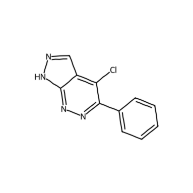 Clc1c(-c2ccccc2)nnc2[nH]ncc12